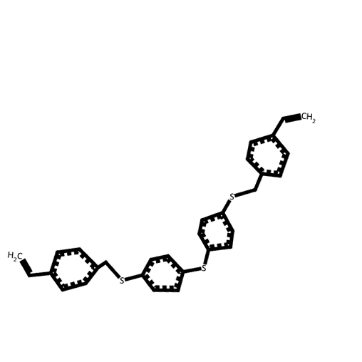 C=Cc1ccc(CSc2ccc(Sc3ccc(SCc4ccc(C=C)cc4)cc3)cc2)cc1